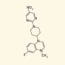 CN1C=CN(C2CCN(c3ncc([N+](=O)[O-])cn3)CC2)c2ccc(F)cc21